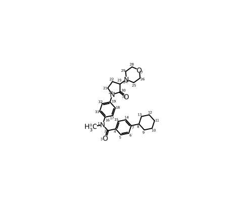 CN(C(=O)c1ccc(C2CCCCC2)cc1)c1ccc(N2CCC(N3CCOCC3)C2=O)cc1